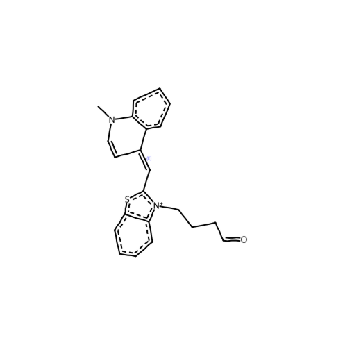 CN1C=C/C(=C\c2sc3ccccc3[n+]2CCCC=O)c2ccccc21